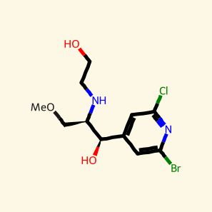 COC[C@@H](NCCO)[C@H](O)c1cc(Cl)nc(Br)c1